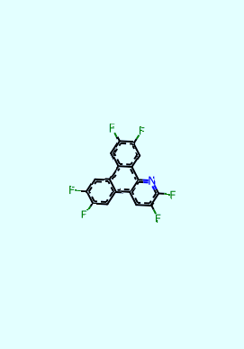 Fc1cc2c3cc(F)c(F)cc3c3nc(F)c(F)cc3c2cc1F